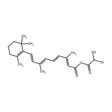 CCC(O)C(=O)OC(=O)C=C(C)C=CC=C(C)C=CC1=C(C)CCCC1(C)C